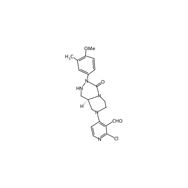 COc1ccc(N2NC[C@@H]3CN(c4ccnc(Cl)c4C=O)CCN3C2=O)cc1C